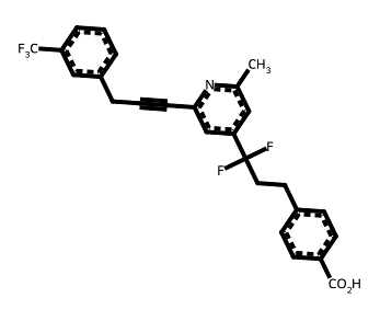 Cc1cc(C(F)(F)CCc2ccc(C(=O)O)cc2)cc(C#CCc2cccc(C(F)(F)F)c2)n1